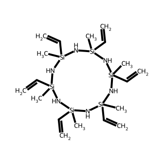 C=C[Si]1(C)N[Si](C)(C=C)N[Si](C)(C=C)N[Si](C)(C=C)N[Si](C)(C=C)N[Si](C)(C=C)N1